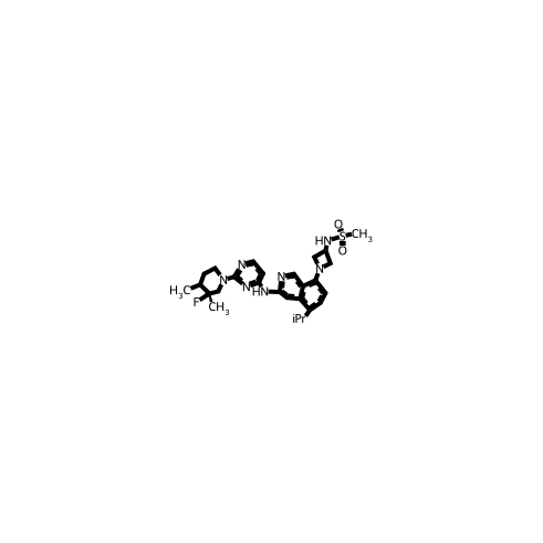 CC(C)c1ccc(N2CC(NS(C)(=O)=O)C2)c2cnc(Nc3ccnc(N4CCC(C)[C@@](C)(F)C4)n3)cc12